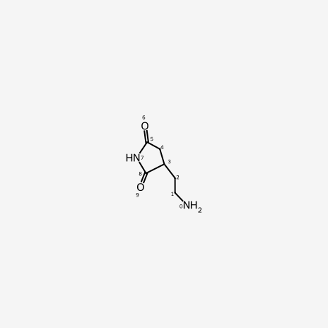 NCCC1CC(=O)NC1=O